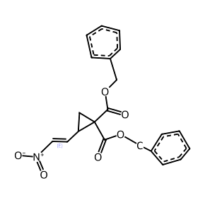 O=C(OCc1ccccc1)C1(C(=O)OCc2ccccc2)CC1/C=C/[N+](=O)[O-]